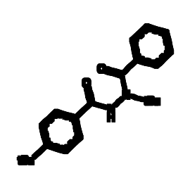 CC(C)(C)c1ccc(C(=O)NN(C(=O)c2ccccc2)C(C)(C)C)cc1